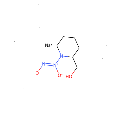 [Na+].[O-]N=[N+]([O-])N1CCCCC1CO